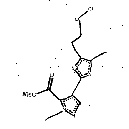 CCOCCc1sc(-c2cnn(C)c2C(=O)OC)nc1C